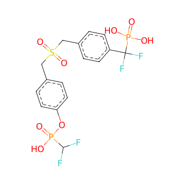 O=P(O)(Oc1ccc(CS(=O)(=O)Cc2ccc(C(F)(F)P(=O)(O)O)cc2)cc1)C(F)F